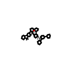 CC1(C)c2ccccc2-c2cc3c4ccccc4n(-c4ccc(-n5c6ccccc6c6cc(-c7ccccc7)ccc65)cc4-c4ccccc4)c3cc21